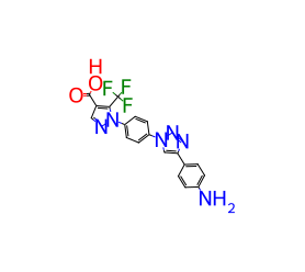 Nc1ccc(-c2cn(-c3ccc(-n4ncc(C(=O)O)c4C(F)(F)F)cc3)nn2)cc1